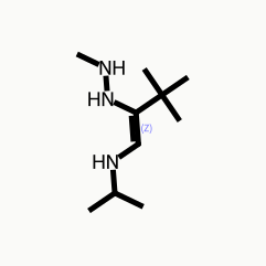 CNN/C(=C\NC(C)C)C(C)(C)C